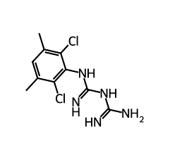 Cc1cc(C)c(Cl)c(NC(=N)NC(=N)N)c1Cl